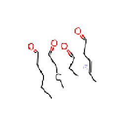 C/C=C/CC=O.CCC=O.CCCC=O.CCCCC=O